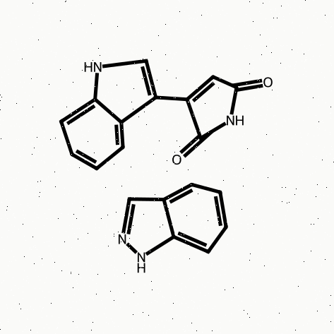 O=C1C=C(c2c[nH]c3ccccc23)C(=O)N1.c1ccc2[nH]ncc2c1